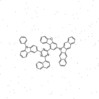 c1ccc(-n2c3ccccc3c3cc(-c4nc(-c5cccc6ccccc56)nc(-c5cc(-n6c7cc8ccccc8cc7c7cc8ccccc8cc76)cc6oc7ccccc7c56)n4)ccc32)cc1